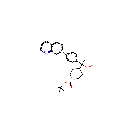 COC(C)(c1ccc(-c2ccc3cccnc3c2)cc1)C1CCN(C(=O)OC(C)(C)C)CC1